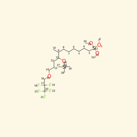 CO[Si](CCCCCCC(C)C(CCCOCC(F)(F)C(F)(F)F)O[Si](C)(C)C)(OC)OC